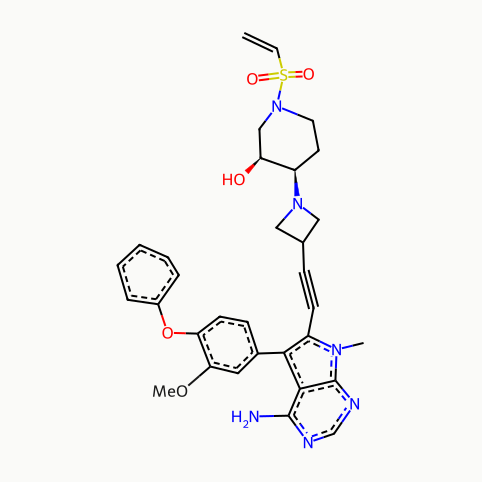 C=CS(=O)(=O)N1CC[C@@H](N2CC(C#Cc3c(-c4ccc(Oc5ccccc5)c(OC)c4)c4c(N)ncnc4n3C)C2)[C@@H](O)C1